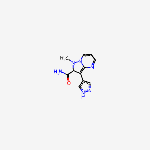 CN1C(C(N)=O)C(c2cn[nH]c2)=C2N=CC=CN21